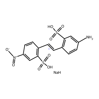 Nc1ccc(/C=C/c2ccc([N+](=O)[O-])cc2S(=O)(=O)O)c(S(=O)(=O)O)c1.[NaH]